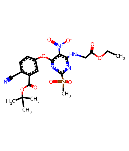 CCOC(=O)CNc1nc(S(C)(=O)=O)nc(Oc2ccc(C#N)c(C(=O)OC(C)(C)C)c2)c1[N+](=O)[O-]